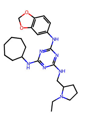 CCN1CCCC1CNc1nc(Nc2ccc3c(c2)OCO3)nc(NC2CCCCCC2)n1